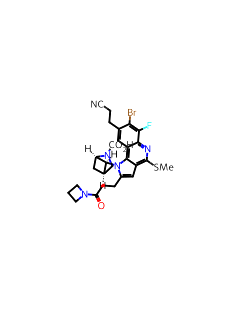 CSc1nc2c(F)c(Br)c(CCC#N)cc2c2c1cc(CCC(=O)N1CCC1)n2[C@H]1[C@@H]2C[C@H]1N(C(=O)O)C2